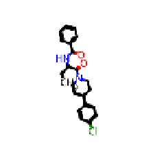 CCC(NC(=O)c1ccccc1)C(=O)N1CCC(c2ccc(Cl)cc2)CC1